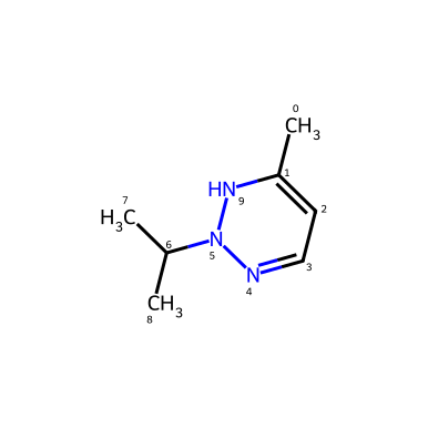 CC1=CC=NN(C(C)C)N1